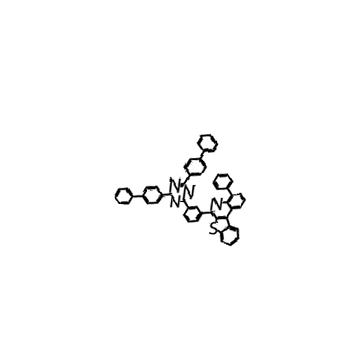 c1ccc(-c2ccc(-c3nc(-c4ccc(-c5ccccc5)cc4)nc(-c4cccc(-c5nc6c(-c7ccccc7)cccc6c6c5sc5ccccc56)c4)n3)cc2)cc1